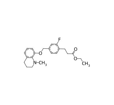 CCOC(=O)CCc1ccc(COc2cccc3c2N(C)CCC3)cc1F